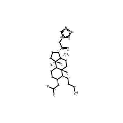 C[C@]12CC[C@H]3[C@@H](CC[C@H](CC(F)F)[C@@H]3CCCO)[C@@H]1CC[C@@H]2C(=O)Cn1cnnn1